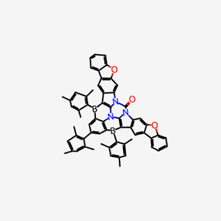 Cc1cc(C)c(B2c3cc(-c4c(C)cc(C)cc4C)cc4c3-n3c5c2c2cc6c(cc2n5c(=O)n2c5cc7oc8ccccc8c7cc5c(c32)B4c2c(C)cc(C)cc2C)oc2ccccc26)c(C)c1